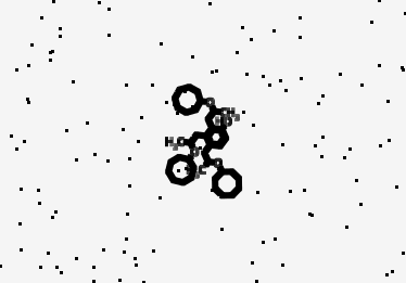 CC(Cc1ccc(O)c(CC(C)OC2CCCCCCC2)c1CC(C)OC1CCCCCCC1)OC1CCCCCCC1